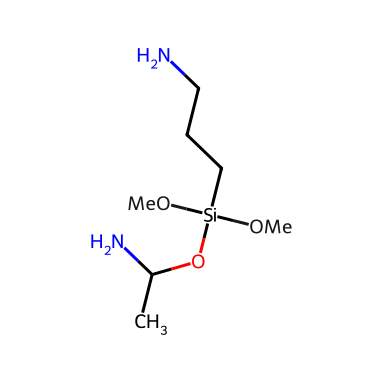 CO[Si](CCCN)(OC)OC(C)N